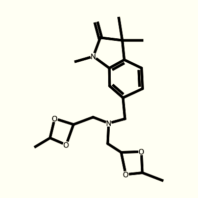 C=C1N(C)c2cc(CN(CC3OC(C)O3)CC3OC(C)O3)ccc2C1(C)C